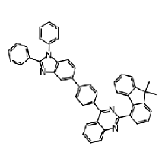 CC1(C)c2ccccc2-c2c(-c3nc(-c4ccc(-c5ccc6c(c5)nc(-c5ccccc5)n6-c5ccccc5)cc4)c4ccccc4n3)cccc21